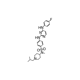 CC(C)CN1CCC(N(C)S(=O)(=O)c2ccc(Nc3nccc(Nc4ccc(F)cc4)n3)cc2)CC1